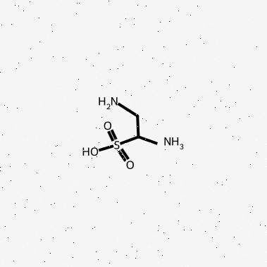 CC(CN)S(=O)(=O)O.N